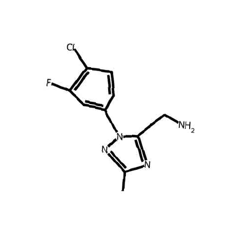 Cc1nc(CN)n(-c2ccc(Cl)c(F)c2)n1